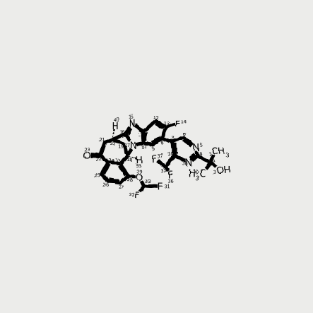 CC(C)(O)c1ncc(-c2cc3c(cc2F)nc2n3[C@@H]3C[C@H]2CC(=O)c2cccc(OC(F)F)c23)c(C(F)F)n1